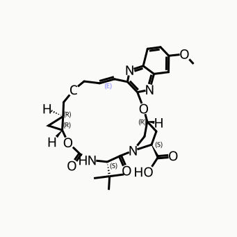 COc1ccc2nc3c(nc2c1)O[C@@H]1C[C@@H](C(=O)O)N(C1)C(=O)[C@H](C(C)(C)C)NC(=O)O[C@@H]1C[C@H]1CCC/C=C/3